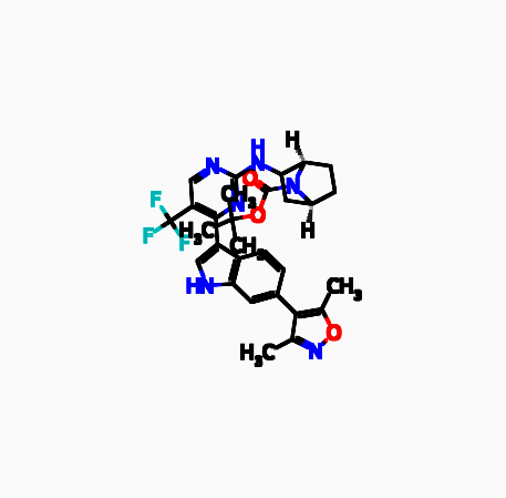 Cc1noc(C)c1-c1ccc2c(-c3nc(NC4C[C@@H]5CC[C@H]4N5C(=O)OC(C)(C)C)ncc3C(F)(F)F)c[nH]c2c1